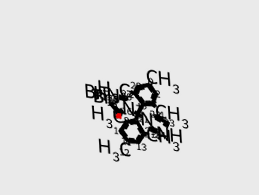 Cc1cc(C)c(C(c2c(C)cc(C)cc2C)([n+]2cc[nH]c2)[n+]2cc[nH]c2)c(C)c1.[Br-].[Br-]